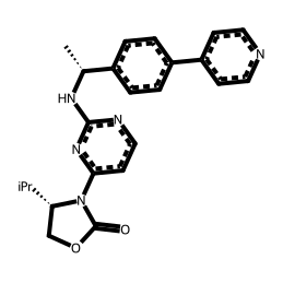 CC(C)[C@H]1COC(=O)N1c1ccnc(N[C@H](C)c2ccc(-c3ccncc3)cc2)n1